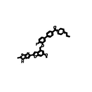 CCCN1CCN(C(=O)c2ccc(-c3ccc(F)c(OCc4cc(OC)cc5oc(-c6cn7c(n6)SC(C)N7)cc45)c3)cc2)CC1